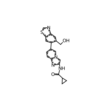 O=C(Nc1cn2cc(-c3cc4scnc4cc3CO)ccc2n1)C1CC1